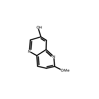 COc1ccc2ncc(O)cc2n1